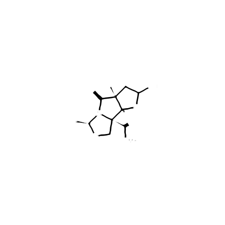 COC(=O)[C@@]12CO[C@@H](C(C)(C)C)N1C(=O)[C@@H]1CC(O)O[C@@]12C